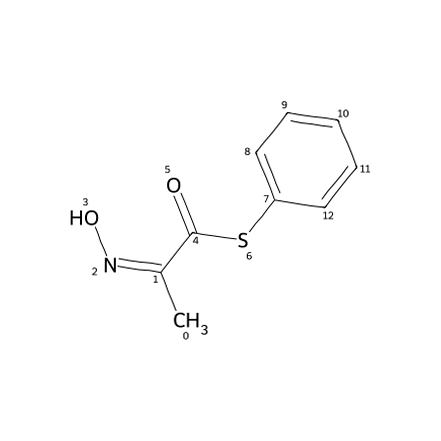 C/C(=N/O)C(=O)Sc1ccccc1